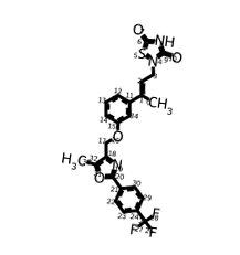 CC(=CCn1sc(=O)[nH]c1=O)c1cccc(OCc2nc(-c3ccc(C(F)(F)F)cc3)oc2C)c1